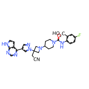 N#CCC1(n2cc(-c3ncnc4[nH]ccc34)cn2)CN(C2CCN(C(=O)Nc3ccc(F)cc3C(=O)O)CC2)C1